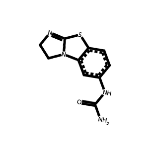 NC(=O)Nc1ccc2c(c1)N1CCN=C1S2